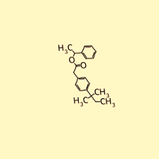 CCC(C)(C)c1ccc(CC(=O)OC(C)c2ccccc2)cc1